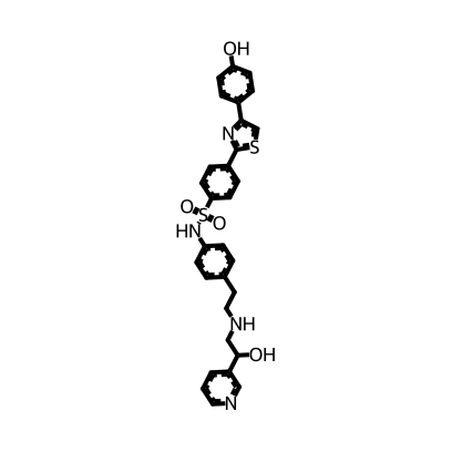 O=S(=O)(Nc1ccc(CCNCC(O)c2cccnc2)cc1)c1ccc(-c2nc(-c3ccc(O)cc3)cs2)cc1